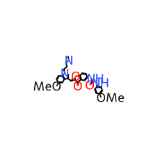 COc1ccc(NC(=O)Nc2ccc3c(c2)C(=O)C(=Cc2cn(CCCN(C)C)c4ccc(OC)cc24)O3)cc1